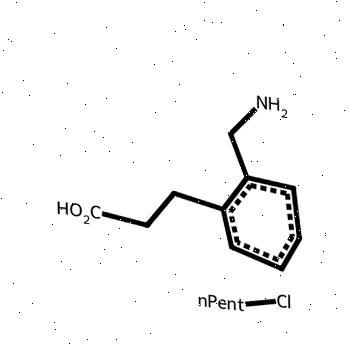 CCCCCCl.NCc1ccccc1CCC(=O)O